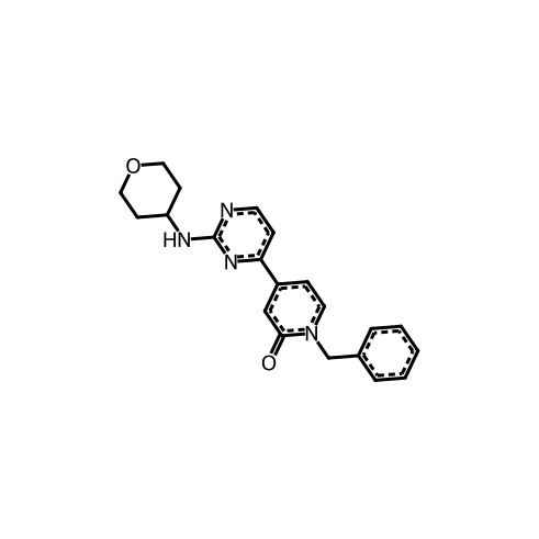 O=c1cc(-c2ccnc(NC3CCOCC3)n2)ccn1Cc1ccccc1